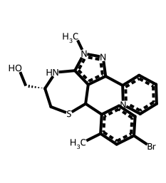 Cc1cc(Br)ccc1C1SC[C@H](CO)Nc2c1c(-c1ccccn1)nn2C